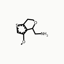 COc1csc2c1C(CN)OCC2